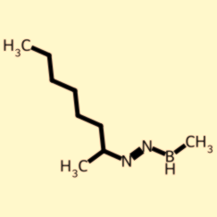 CBN=NC(C)CCCCCC